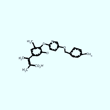 C/C(C(=O)O)=C(\C)c1cc(C)c(Oc2ccc(OCc3ccc(C)cc3)cn2)c(Cl)c1